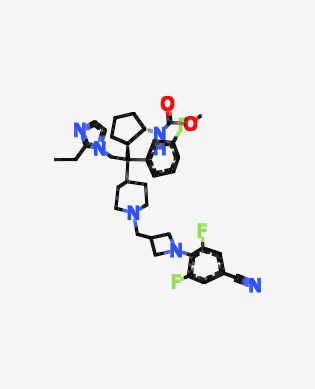 CCc1nccn1CC(c1cccc(F)c1)(C1CCN(CC2CN(c3c(F)cc(C#N)cc3F)C2)CC1)[C@H]1CCC[C@@H]1NC(=O)OC